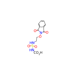 O=C(O)NS(=O)(=O)NCCON1C(=O)c2ccccc2C1=O